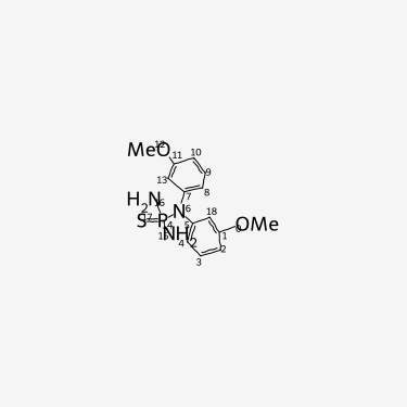 COc1cccc(N(c2cccc(OC)c2)P(N)(N)=S)c1